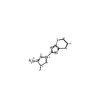 CC1CN(c2nc3c(s2)CCCC3)N=C1N